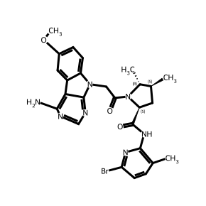 COc1ccc2c(c1)c1c(N)ncnc1n2CC(=O)N1[C@H](C)[C@@H](C)C[C@H]1C(=O)Nc1nc(Br)ccc1C